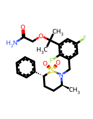 C[C@H]1CC[C@H](c2ccccc2)S(=O)(=O)N1Cc1cc(F)cc(C(C)(C)OCC(N)=O)c1F